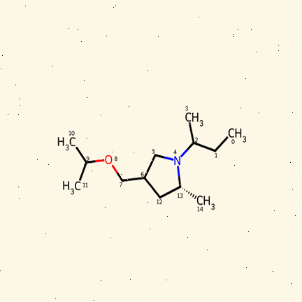 CCC(C)N1CC(COC(C)C)C[C@H]1C